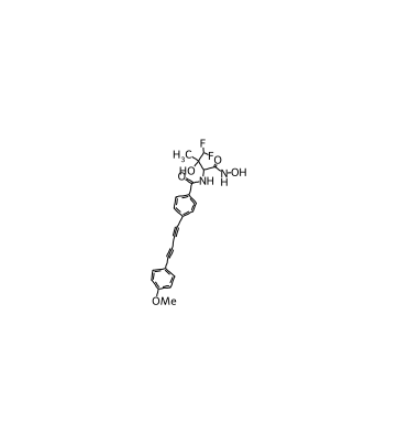 COc1ccc(C#CC#Cc2ccc(C(=O)NC(C(=O)NO)C(C)(O)C(F)F)cc2)cc1